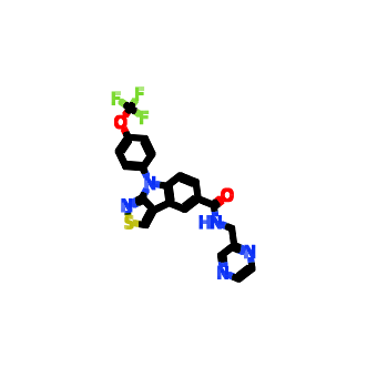 O=C(NCc1cnccn1)c1ccc2c(c1)c1csnc1n2-c1ccc(OC(F)(F)F)cc1